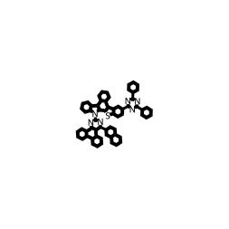 c1ccc(-c2nc(-c3ccccc3)nc(-c3ccc4sc5c(c4c3)c3ccccc3c3c4ccccc4n(-c4nc(-c6ccc7ccccc7c6)c6c7ccccc7c7ccccc7c6n4)c53)n2)cc1